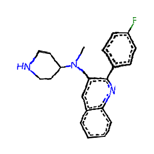 CN(c1cc2ccccc2nc1-c1ccc(F)cc1)C1CCNCC1